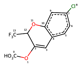 O=C(O)OC1=Cc2ccc(Cl)cc2OC1C(F)(F)F